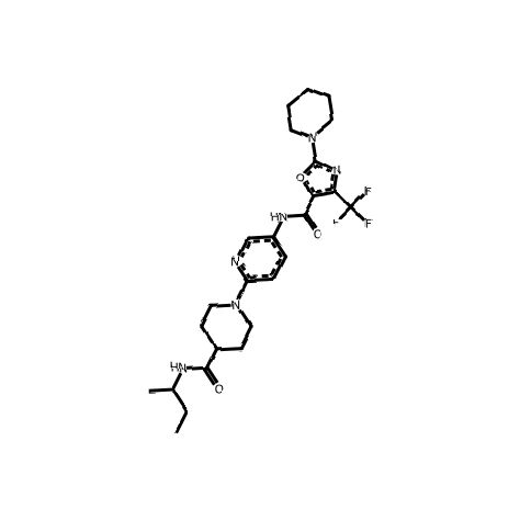 CCC(C)NC(=O)C1CCN(c2ccc(NC(=O)c3oc(N4CCCCC4)nc3C(F)(F)F)cn2)CC1